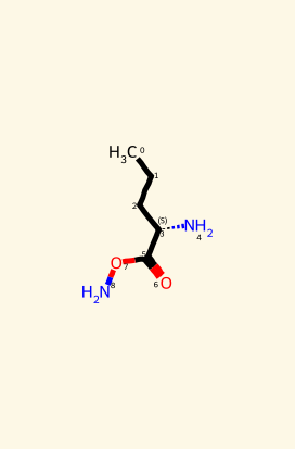 CCC[C@H](N)C(=O)ON